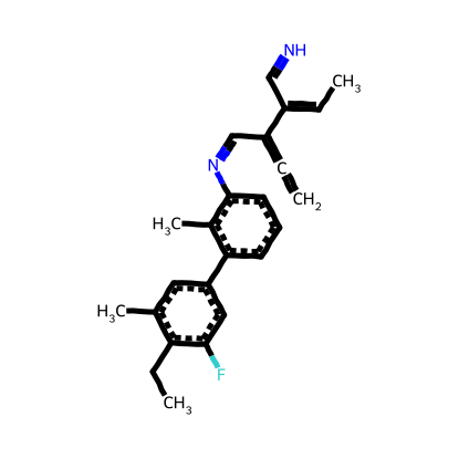 C=C=C(/C=N\c1cccc(-c2cc(C)c(CC)c(F)c2)c1C)/C(C=N)=C/C